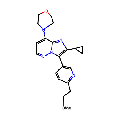 COCCc1ccc(-c2c(C3CC3)nc3c(N4CCOCC4)ccnn23)cn1